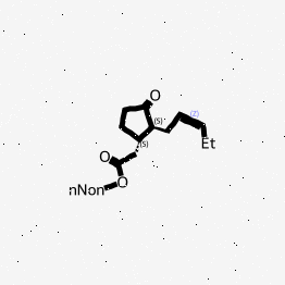 CC/C=C\C[C@@H]1C(=O)CC[C@H]1CC(=O)OCCCCCCCCC